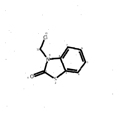 O=c1sc2ccccc2n1CCl